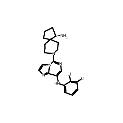 N[C@@H]1CCCC12CCN(c1ncc(Nc3cccc(Cl)c3Cl)c3nccn13)CC2